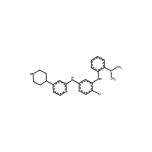 CP(C)c1ccccc1Nc1cc(Nc2cc(C3CCNCC3)ccn2)ncc1Cl